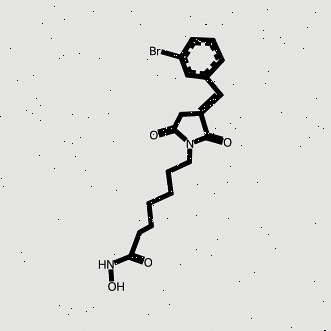 O=C(CCCCCCN1C(=O)C/C(=C\c2cccc(Br)c2)C1=O)NO